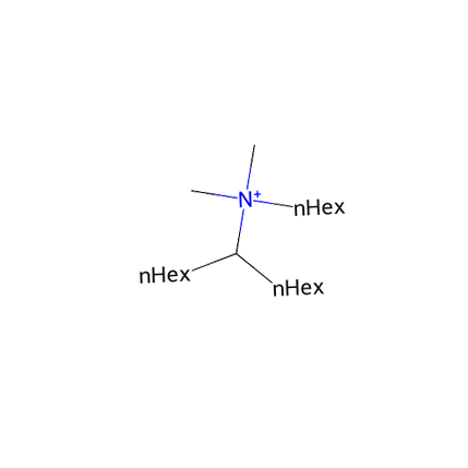 CCCCCCC(CCCCCC)[N+](C)(C)CCCCCC